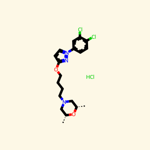 C[C@@H]1CN(CCCCOc2ccn(-c3ccc(Cl)c(Cl)c3)n2)C[C@H](C)O1.Cl